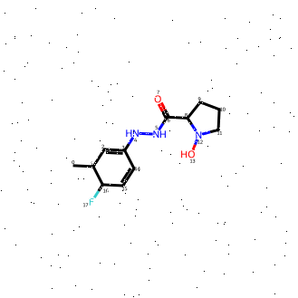 CC1C=C(NNC(=O)C2CCCN2O)C=CC1F